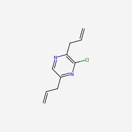 C=CCc1cnc(CC=C)c(Cl)n1